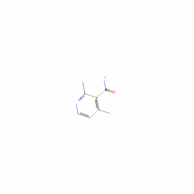 Cc1ccnc(C)c1C(N)=O